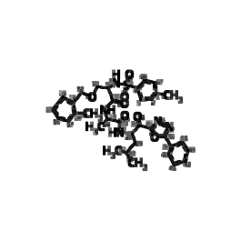 Cc1ccc(S(=O)(=O)NC(COCc2ccccc2C)C(=O)NC(C)C(=O)NC(CC(C)C)C(=O)c2nnc(-c3ccccc3)o2)cc1